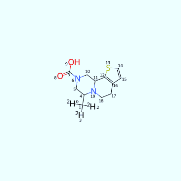 [2H]C([2H])([2H])C1CN(C(=O)O)CC2c3sccc3CCN21